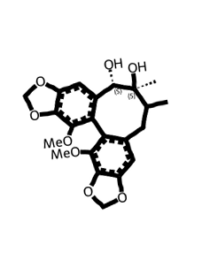 COc1c2c(cc3c1-c1c(cc4c(c1OC)OCO4)[C@H](O)[C@@](C)(O)C(C)C3)OCO2